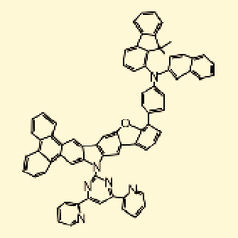 CC1(C)c2ccccc2-c2cccc(N(c3ccc(-c4cccc5c4oc4cc6c7cc8c9ccccc9c9ccccc9c8cc7n(-c7nc(-c8ccccn8)cc(-c8ccccn8)n7)c6cc45)cc3)c3ccc4ccccc4c3)c21